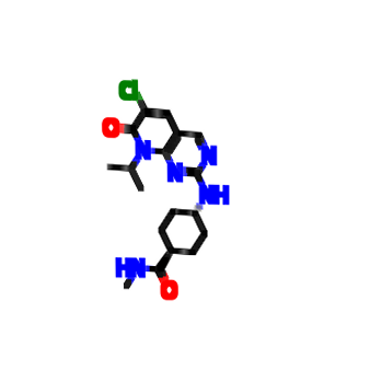 CNC(=O)[C@H]1CC[C@H](Nc2ncc3cc(Cl)c(=O)n(C(C)C)c3n2)CC1